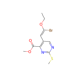 CCO/C(Br)=C/c1cnc(SC)nc1C(=O)OC